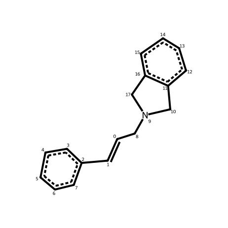 C(=Cc1ccccc1)CN1Cc2ccccc2C1